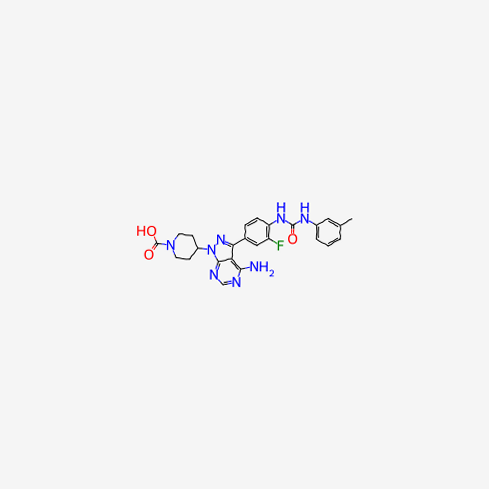 Cc1cccc(NC(=O)Nc2ccc(-c3nn(C4CCN(C(=O)O)CC4)c4ncnc(N)c34)cc2F)c1